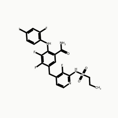 CCCS(=O)(=O)Nc1nccc(Cc2cc(C(N)=O)c(Nc3ccc(I)cc3F)c(F)c2F)c1F